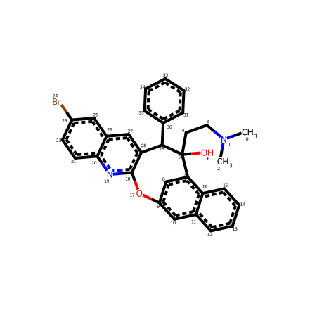 CN(C)CCC1(O)c2cc(cc3ccccc23)Oc2nc3ccc(Br)cc3cc2C1c1ccccc1